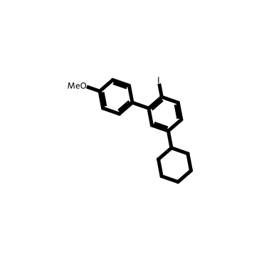 COc1ccc(-c2cc(C3CCCCC3)ccc2I)cc1